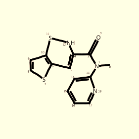 CN(C(=O)C1=Cc2sccc2SN1)c1ccccn1